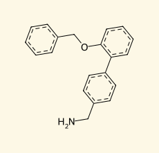 NCc1ccc(-c2ccccc2OCc2ccccc2)cc1